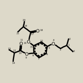 CC(C)COc1ccc(OC(=O)C(C)C)c(OC(=O)C(C)C)c1